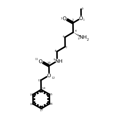 COC(=O)[C@H](N)CCCNC(=O)OCc1ccccc1